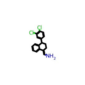 NC=C1CCC(c2ccc(Cl)c(Cl)c2)c2ccccc21